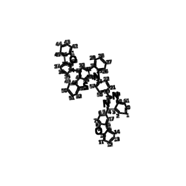 c1ccc2c(-c3ccc4oc5ccccc5c4c3)nc(-c3ccc(-n4c5ccccc5c5cc(-c6cccc7c6oc6ccccc67)c6c7ccccc7sc6c54)cc3)nc2c1